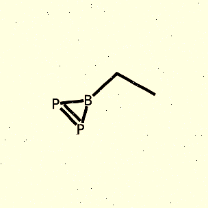 CCB1P=P1